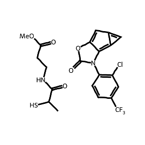 COC(=O)CCNC(=O)C(C)S.O=c1oc2cc3cc-3c2n1-c1ccc(C(F)(F)F)cc1Cl